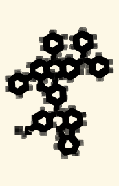 Cc1ccc(N(c2ccc3c(c2)Oc2c(-c4ccccc4)ccc4c2B3c2ccc(N(c3ccccc3)c3ccccc3)cc2N4c2ccccc2)c2cccc3c2sc2ccccc23)cc1